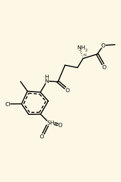 COC(=O)[C@@H](N)CCC(=O)Nc1cc([SH](=O)=O)cc(Cl)c1C